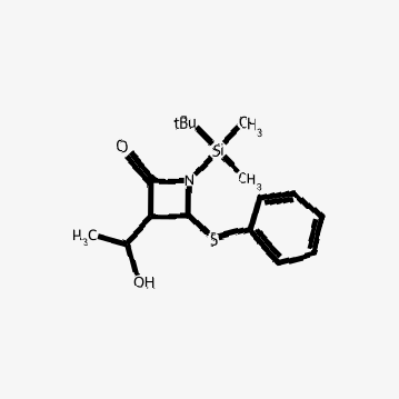 CC(O)C1C(=O)N([Si](C)(C)C(C)(C)C)C1Sc1ccccc1